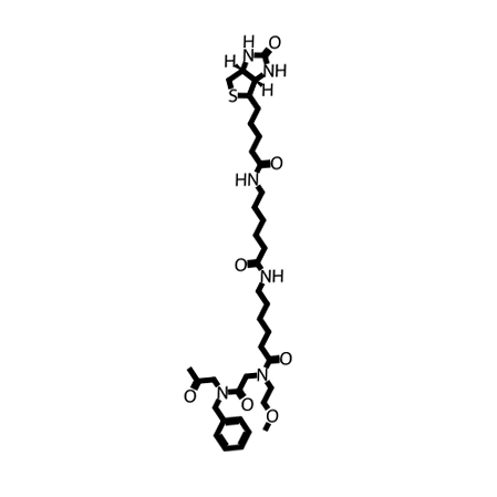 COCCN(CC(=O)N(CC(C)=O)Cc1ccccc1)C(=O)CCCCCNC(=O)CCCCCNC(=O)CCCCC1SC[C@@H]2NC(=O)N[C@H]12